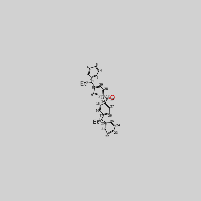 CCC(c1ccccc1)c1ccc(C(=O)c2ccc(C(CC)c3ccccc3)cc2)cc1